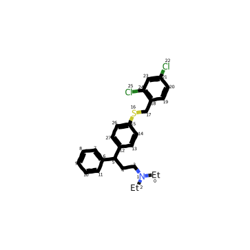 CCN(CC)CCC(c1ccccc1)c1ccc(SCc2ccc(Cl)cc2Cl)cc1